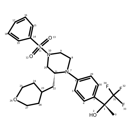 C[C@@](O)(c1ccc(N2CCN(S(=O)(=O)c3ccccc3)C[C@H]2CC2CCOCC2)cc1)C(F)(F)F